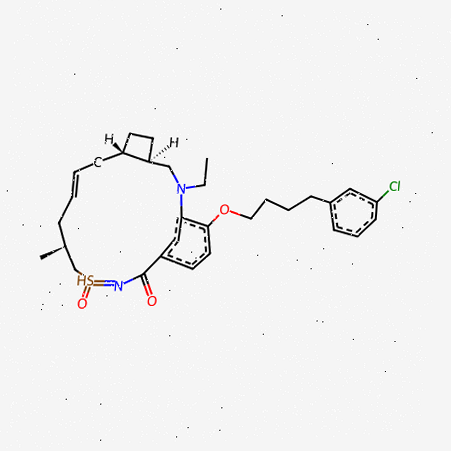 CCN1C[C@@H]2CC[C@H]2C/C=C/C[C@H](C)C/[SH](=O)=N\C(=O)c2ccc(OCCCCc3cccc(Cl)c3)c1c2